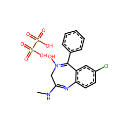 CNC1=Nc2ccc(Cl)cc2C(c2ccccc2)=[N+](O)C1.O=S(=O)(O)S(=O)(=O)O